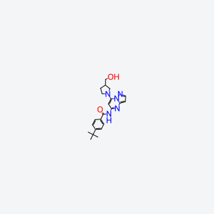 CC(C)(C)c1ccc(C(=O)Nc2cc(N3CCC(CO)C3)n3nccc3n2)cc1